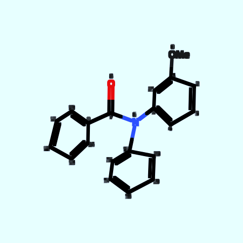 COc1cccc(N(C(=O)c2ccccc2)c2ccccc2)c1